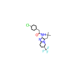 CC(C)(C)Cc1c(NC(=O)Cc2ccc(Cl)cc2)nc2ccc(C(F)(F)F)cn12